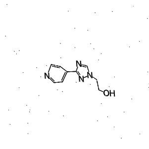 OCCn1cnc(-c2ccncc2)n1